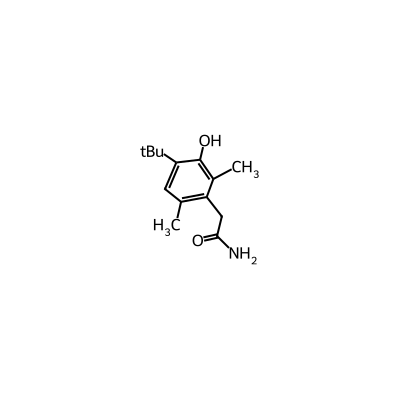 Cc1cc(C(C)(C)C)c(O)c(C)c1CC(N)=O